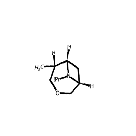 CC(C)N1[C@H]2COC[C@H](C)[C@@H]1C2